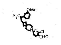 COc1cccc(C(CC2CC3(CCN(c4ccc(C=O)c(Cl)n4)CC3)C2)C(F)(F)F)c1